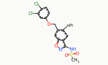 CCCc1cc2c(NS(C)(=O)=O)noc2cc1COc1ccc(Cl)c(Cl)c1